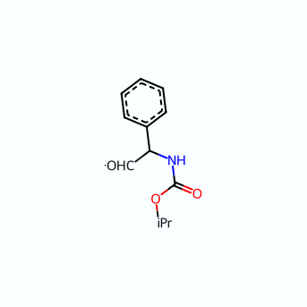 CC(C)OC(=O)NC([C]=O)c1ccccc1